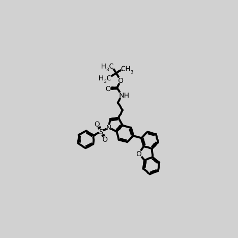 CC(C)(C)OC(=O)NCCc1cn(S(=O)(=O)c2ccccc2)c2ccc(-c3cccc4c3oc3ccccc34)cc12